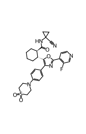 N#CC1(NC(=O)[C@@H]2CCCC[C@H]2c2oc(-c3ccncc3F)nc2-c2ccc(N3CCS(=O)(=O)CC3)cc2)CC1